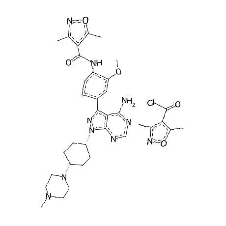 COc1cc(-c2nn([C@H]3CC[C@@H](N4CCN(C)CC4)CC3)c3ncnc(N)c23)ccc1NC(=O)c1c(C)noc1C.Cc1noc(C)c1C(=O)Cl